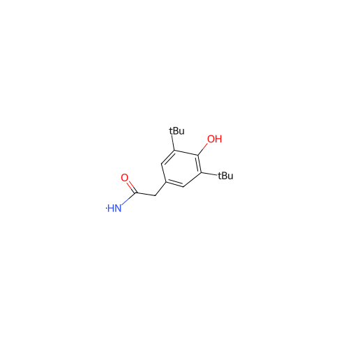 CC(C)(C)c1cc(CC([NH])=O)cc(C(C)(C)C)c1O